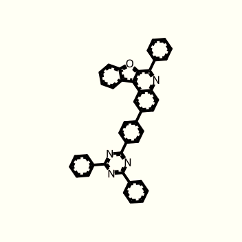 c1ccc(-c2nc(-c3ccccc3)nc(-c3ccc(-c4ccc5nc(-c6ccccc6)c6oc7ccccc7c6c5c4)cc3)n2)cc1